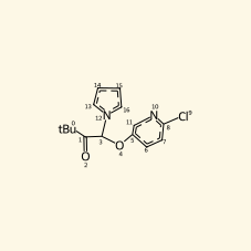 CC(C)(C)C(=O)C(Oc1ccc(Cl)nc1)n1cccc1